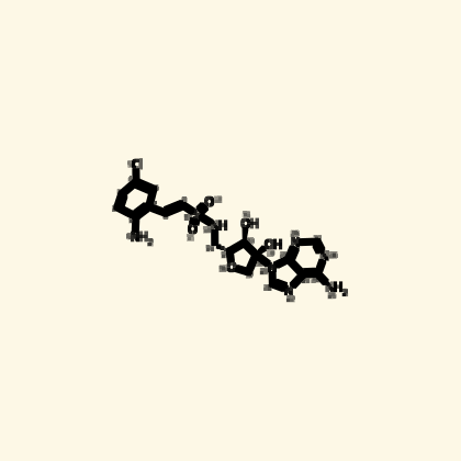 Nc1ccc(Cl)cc1/C=C/S(=O)(=O)NC[C@H]1OC[C@@](O)(n2cnc3c(N)ncnc32)[C@@H]1O